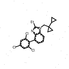 CCc1nc2c(-c3c(Cl)cc(Cl)cc3Cl)cccc2n1CC1(C2CC2)CC1